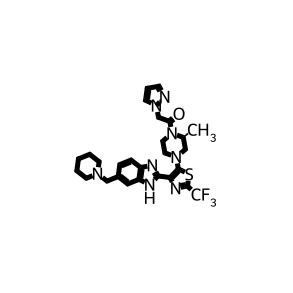 C[C@@H]1CN(c2sc(C(F)(F)F)nc2-c2nc3ccc(CN4CCCCC4)cc3[nH]2)CCN1C(=O)Cn1cccn1